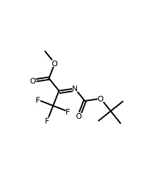 COC(=O)C(=NC(=O)OC(C)(C)C)C(F)(F)F